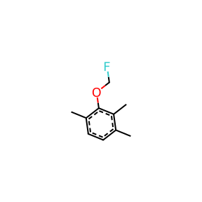 Cc1ccc(C)c(OCF)c1C